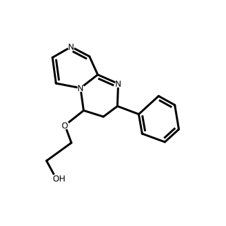 OCCOC1CC(c2ccccc2)N=C2C=NC=CN21